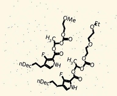 CCCCCCCCCCCCc1c[nH]c(C(=O)OC(C)OC(=O)OCCOC)c1F.CCCCCCCCCCCCc1c[nH]c(C(=O)OC(C)OC(=O)OCCOCCOCC)c1F